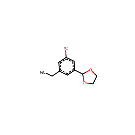 N#CCc1cc(Br)cc(C2OCCO2)c1